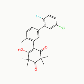 Cc1ccc(-c2cc(Cl)ccc2F)cc1C1=C(O)C(C)(C)C(=O)C(C)(C)C1=O